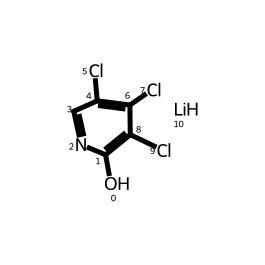 Oc1ncc(Cl)c(Cl)c1Cl.[LiH]